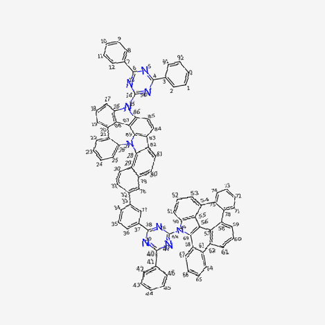 c1ccc(-c2nc(-c3ccccc3)nc(-n3c4cccc5c6ccccc6n6c7c8ccc(-c9cccc(-c%10nc(-c%11ccccc%11)nc(-n%11c%12cccc%13c%12c%12c%14c(cccc%14c%14ccccc%14c%12%11)-c%11ccccc%11-%13)n%10)c9)cc8ccc7c7ccc3c(c54)c76)n2)cc1